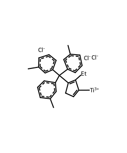 CCC1=C(C(c2cccc(C)c2)(c2cccc(C)c2)c2cccc(C)c2)CC=[C]1[Ti+3].[Cl-].[Cl-].[Cl-]